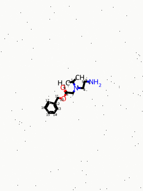 CC(C)N(CCN)CC(=O)OCc1ccccc1